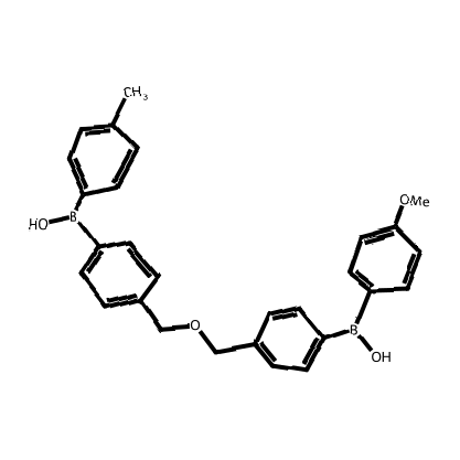 COc1ccc(B(O)c2ccc(COCc3ccc(B(O)c4ccc(C)cc4)cc3)cc2)cc1